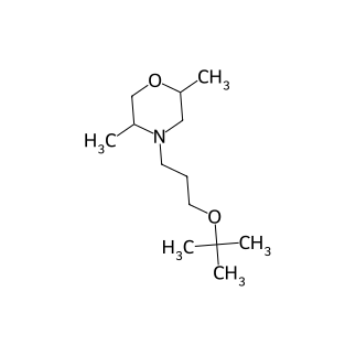 CC1CN(CCCOC(C)(C)C)C(C)CO1